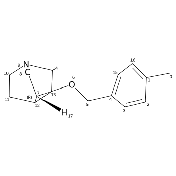 Cc1ccc(CO[C@H]2CN3CCC2CC3)cc1